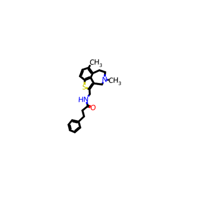 Cc1ccc2sc(CNC(=O)CCc3ccccc3)c3c2c1CCN(C)C3